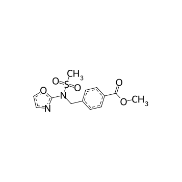 COC(=O)c1ccc(CN(c2ncco2)S(C)(=O)=O)cc1